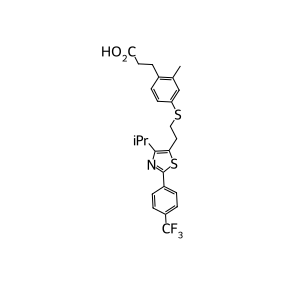 Cc1cc(SCCc2sc(-c3ccc(C(F)(F)F)cc3)nc2C(C)C)ccc1CCC(=O)O